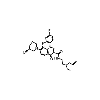 C=CCC(CC)CCNC(=O)c1cn(-c2ccc(F)cc2F)c2nc(N3CCCC(C#N)C3)ccc2c1=O